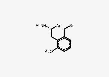 CC(=O)N[C@@H](Cc1c(CBr)cccc1OC(C)=O)C(C)=O